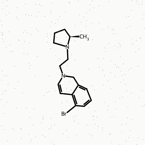 C[C@@H]1CCCN1CCN1C=Cc2c(Br)cccc2C1